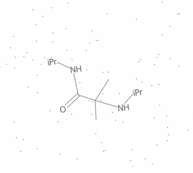 CC(C)NC(=O)C(C)(C)NC(C)C